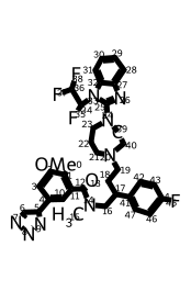 COc1ccc(C2C=NN=N2)cc1C(=O)N(C)CC(CCN1CCCN(c2nc3ccccc3n2C(F)C(F)F)CC1)c1ccc(F)cc1